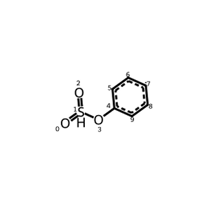 O=[SH](=O)Oc1cc[c]cc1